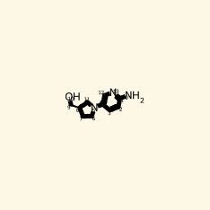 Nc1ccc(N2CC[C@@H](CO)C2)cn1